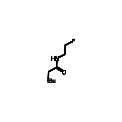 CC(C)(C)CC(=O)NCCF